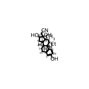 CC[C@H]1C[C@@]2(C)[C@@H](C[C@@H](O)[C@]2(O)CC#N)[C@@H]2CCc3cc(O)ccc3[C@@H]12